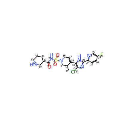 C[C@H]1CN(S(=O)(=O)NC(=O)C2CCCNC2)CC=C1c1[nH]c(-c2ccc(F)cn2)nc1Cl